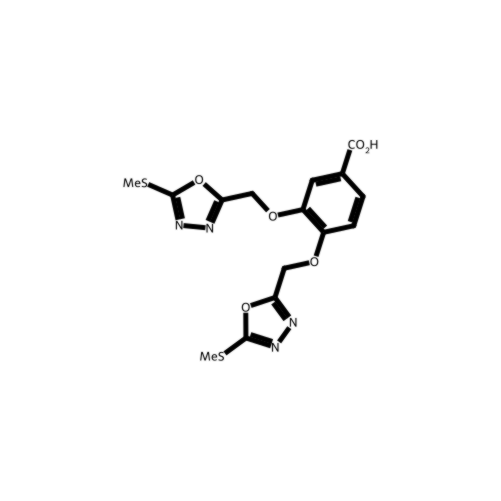 CSc1nnc(COc2ccc(C(=O)O)cc2OCc2nnc(SC)o2)o1